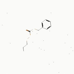 O=C(O)CCSSC(=S)SCc1ccccc1